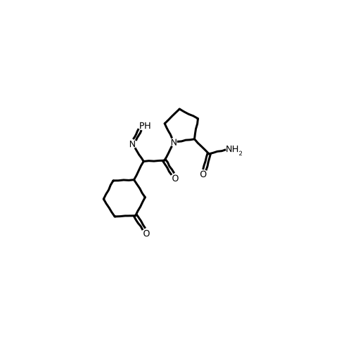 NC(=O)C1CCCN1C(=O)C(N=P)C1CCCC(=O)C1